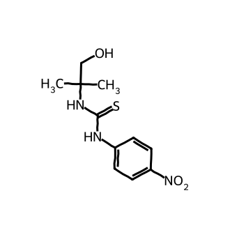 CC(C)(CO)NC(=S)Nc1ccc([N+](=O)[O-])cc1